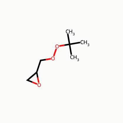 CC(C)(C)OOCC1CO1